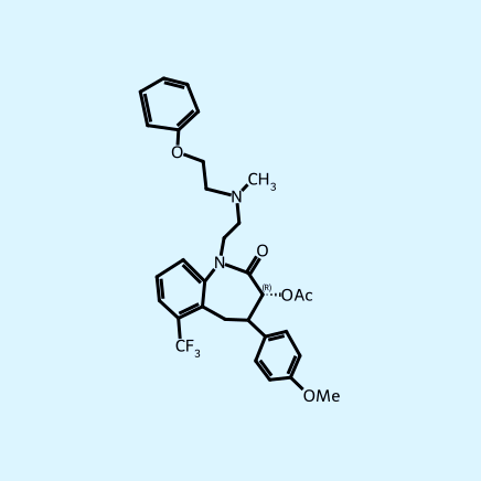 COc1ccc(C2Cc3c(cccc3C(F)(F)F)N(CCN(C)CCOc3ccccc3)C(=O)[C@@H]2OC(C)=O)cc1